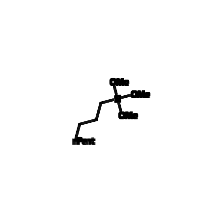 [CH2]CCCCCCC[Si](OC)(OC)OC